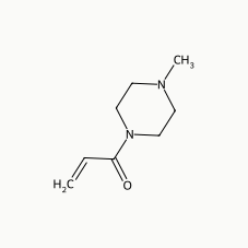 C=CC(=O)N1CCN(C)CC1